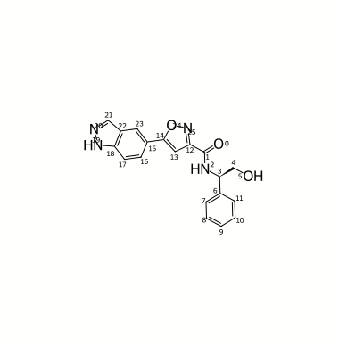 O=C(N[C@@H](CO)c1ccccc1)c1cc(-c2ccc3[nH]ncc3c2)on1